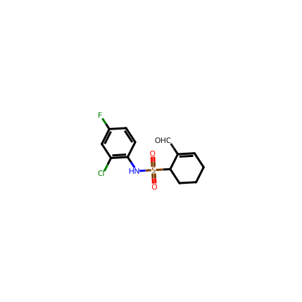 O=CC1=CCCCC1S(=O)(=O)Nc1ccc(F)cc1Cl